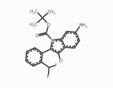 CC(C)(C)OC(=O)n1c(-c2ccccc2C(F)F)c(Cl)c2ccc(N)cc21